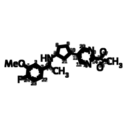 COc1cc([C@@H](C)N[C@H]2CC[C@@H](c3cnc(S(C)(=O)=O)nc3)C2)ccc1F